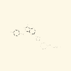 CC(=O)NCCN1CCC[C@@H](C2CN(c3cnc4c(C)nn(C(C)c5ccc(Cl)cc5Cl)c4n3)C2)C1